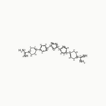 N=C(N)N1CC=C(c2ccc(-c3nnc(-c4ccc(C5=CCN(C(=N)N)CC5)cn4)o3)cc2)CC1